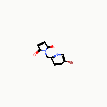 O=C1C=CC(=O)N1Cc1ccc(Br)cn1